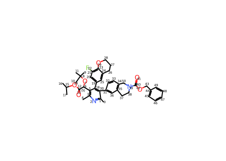 Cc1nc(C)c([C@H](OC(C)(C)C)C(=O)OC(C)C)c(-c2cc(F)c3c(c2)CCCO3)c1-c1ccc2c(c1)CCN(C(=O)OCc1ccccc1)C2